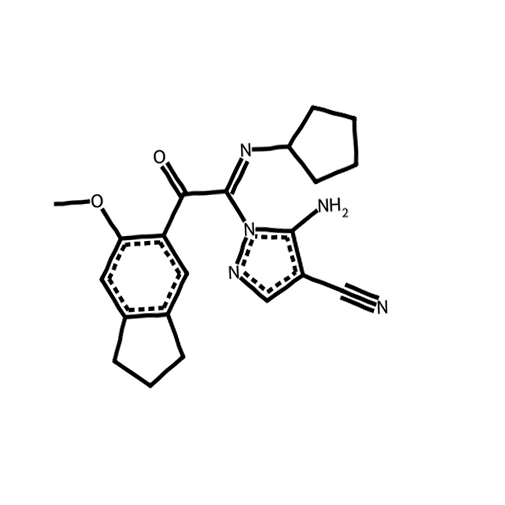 COc1cc2c(cc1C(=O)/C(=N/C1CCCC1)n1ncc(C#N)c1N)CCC2